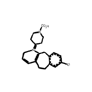 O=C(O)N1CCC(=[N+]2CC=CC3=C2Cc2ccc(Cl)cc2CC3)CC1